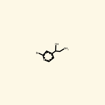 NCC(O)c1ccnc(Br)c1